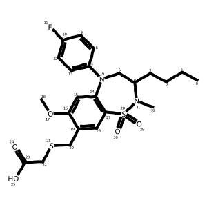 CCCCC1CN(c2ccc(F)cc2)c2cc(OC)c(CSCC(=O)O)cc2S(=O)(=O)N1C